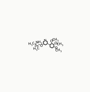 COc1ccc(-c2cncc(OCC3(C)CC3(C)N)c2)c(OC)c1OC